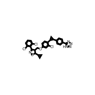 Clc1cc(OCC2C(c3c(Cl)cccc3Cl)=NOC2C2CC2)ccc1C1CC1c1ccc(-c2nnn[nH]2)cc1